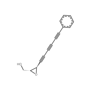 OC[C@H]1O[C@@H]1C#CC#CC#Cc1ccccc1